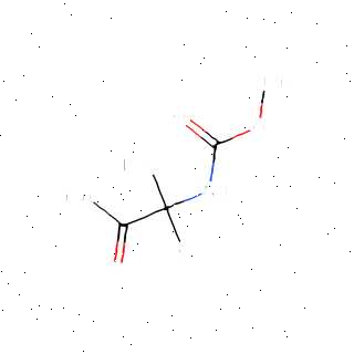 CC(C)(C)OC(=O)NC(C)(C)C(=O)C(C)(C)C